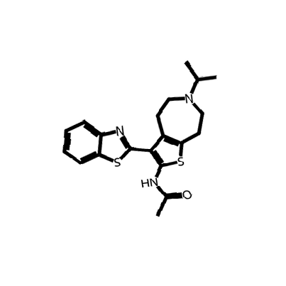 CC(=O)Nc1sc2c(c1-c1nc3ccccc3s1)CCN(C(C)C)CC2